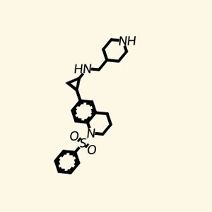 O=S(=O)(c1ccccc1)N1CCCc2cc(C3CC3NCC3CCNCC3)ccc21